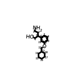 NCCC(CO)c1cccc(OCC2CCCCC2)c1